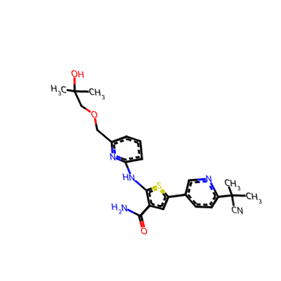 CC(C)(O)COCc1cccc(Nc2sc(-c3ccc(C(C)(C)C#N)nc3)cc2C(N)=O)n1